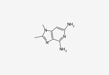 Cc1nc2c(N)nc(N)cc2n1C